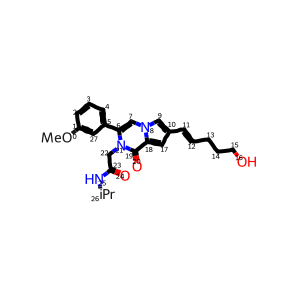 COc1cccc(-c2cn3cc(/C=C/CCCO)cc3c(=O)n2CC(=O)NC(C)C)c1